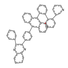 c1ccc(-c2nc3ccccc3nc2-c2ccc(-c3c4ccccc4c(-c4ccccc4-c4ccccc4-c4cccnc4)c4ccccc34)cc2)cc1